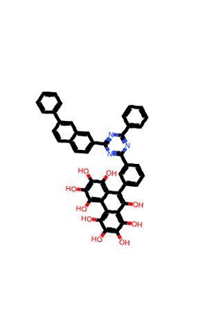 Oc1c(O)c(O)c2c(c1O)c(O)c(-c1cccc(-c3nc(-c4ccccc4)nc(-c4ccc5ccc(-c6ccccc6)cc5c4)n3)c1)c1c(O)c(O)c(O)c(O)c12